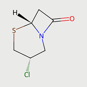 O=C1C[C@H]2SC[C@@H](Cl)CN12